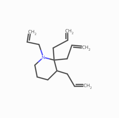 C=CCC1CCCN(CC=C)C1(CC=C)CC=C